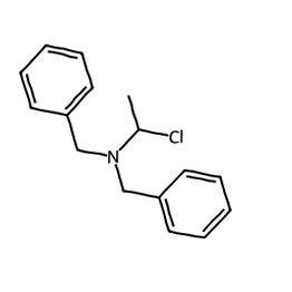 CC(Cl)N(Cc1ccccc1)Cc1ccccc1